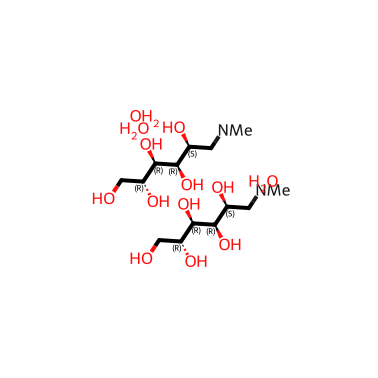 CNC[C@H](O)[C@@H](O)[C@H](O)[C@H](O)CO.CNC[C@H](O)[C@@H](O)[C@H](O)[C@H](O)CO.O.O.O